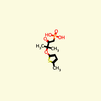 Cc1ccc(OC(C)(C)C(=O)CP(=O)(O)O)s1